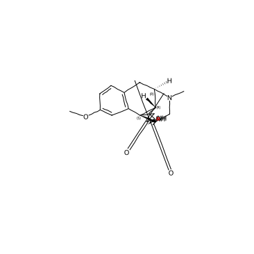 COc1ccc2c(c1)[C@]13CCN(C)[C@H](C2)[C@@H]1CCCNC(=O)NC(=O)C3